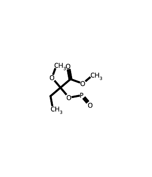 CCC(OC)(OP=O)C(=O)OC